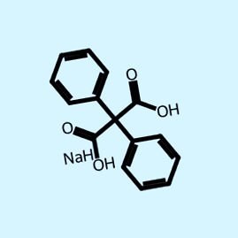 O=C(O)C(C(=O)O)(c1ccccc1)c1ccccc1.[NaH]